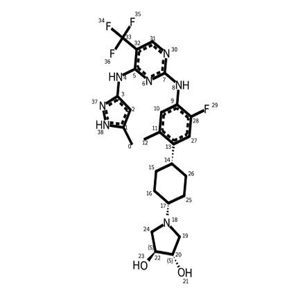 Cc1cc(Nc2nc(Nc3cc(C)c([C@H]4CC[C@@H](N5C[C@H](O)[C@@H](O)C5)CC4)cc3F)ncc2C(F)(F)F)n[nH]1